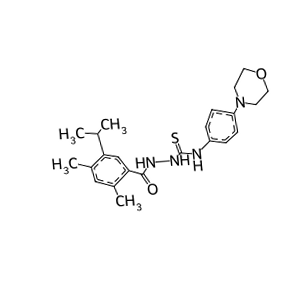 Cc1cc(C)c(C(C)C)cc1C(=O)NNC(=S)Nc1ccc(N2CCOCC2)cc1